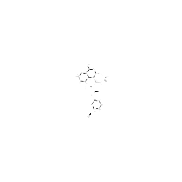 CN(C(=O)Nc1ccc(F)c(C#N)c1)[C@@H]1CS(=O)(=O)Cc2[nH]c(=O)c3cc(F)ccc3c21